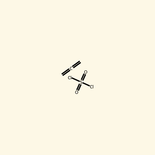 C=C=C.O=S(=O)(Cl)Cl